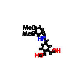 COc1ccc(CNCc2ccc(CO)c(CO)c2)cc1OC